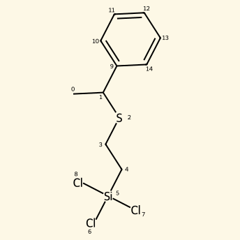 CC(SCC[Si](Cl)(Cl)Cl)c1ccccc1